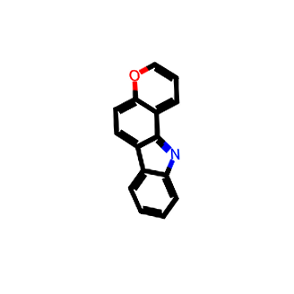 c1ccc2c(c1)nc1c3cccoc3ccc21